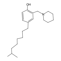 CC(C)CCCCCCc1ccc(O)c(CN2CCCCC2)c1